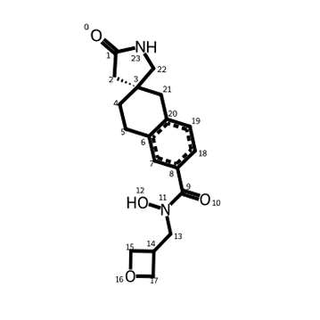 O=C1C[C@]2(CCc3cc(C(=O)N(O)CC4COC4)ccc3C2)CN1